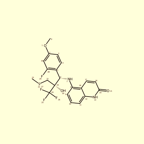 COc1ccc([C@H](Nc2cccc3[nH]c(=O)ccc23)[C@](O)(CSC)C(F)(F)F)c(F)c1